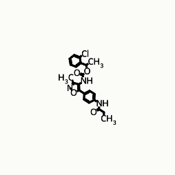 CCC(=O)Nc1ccc(-c2onc(C)c2NC(=O)OC(C)c2ccccc2Cl)cc1